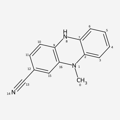 CN1c2ccccc2Nc2ccc(C#N)cc21